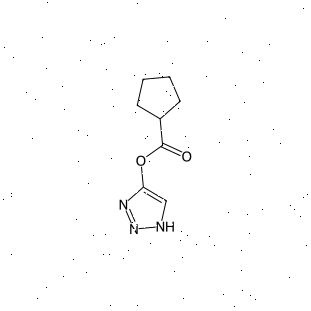 O=C(Oc1c[nH]nn1)C1CCCC1